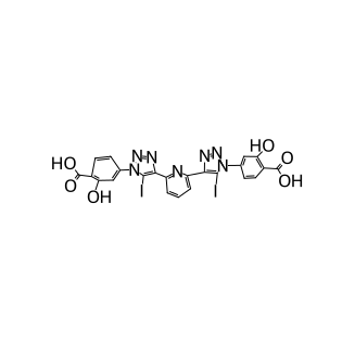 O=C(O)c1ccc(-n2nnc(-c3cccc(-c4nnn(-c5ccc(C(=O)O)c(O)c5)c4I)n3)c2I)cc1O